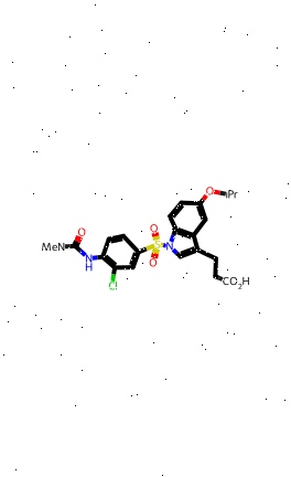 CNC(=O)Nc1ccc(S(=O)(=O)n2cc(CCC(=O)O)c3cc(OC(C)C)ccc32)cc1Cl